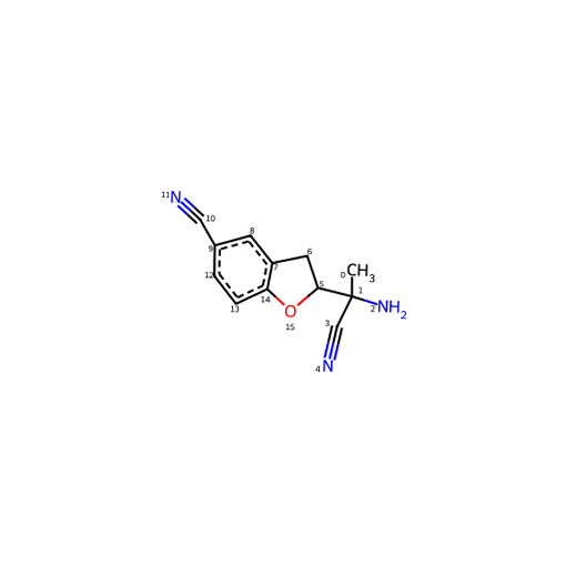 CC(N)(C#N)C1Cc2cc(C#N)ccc2O1